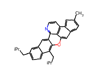 Cc1ccc2cc3c4c(nccc4c2c1)-c1cc2cc(CC(C)C)ccc2c(CC(C)C)c1O3